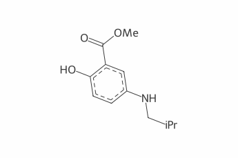 COC(=O)c1cc(NCC(C)C)ccc1O